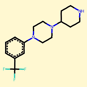 FC(F)(F)c1cccc(N2CCN(C3CCNCC3)CC2)c1